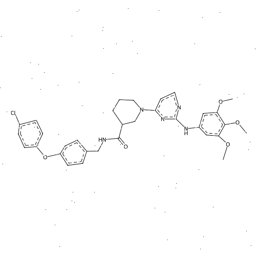 COc1cc(Nc2nccc(N3CCCC(C(=O)NCc4ccc(Oc5ccc(Cl)cc5)cc4)C3)n2)cc(OC)c1OC